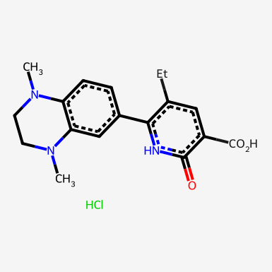 CCc1cc(C(=O)O)c(=O)[nH]c1-c1ccc2c(c1)N(C)CCN2C.Cl